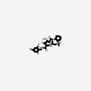 O=C(NCc1c(F)cc(F)cc1F)c1cn2c(c(O)c1=O)C(=O)N1C[C@@H]2CS(=O)(=O)c2ccccc21